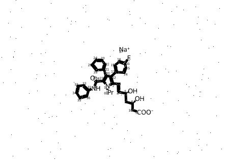 CC(C)n1c(C=C[C@H](O)C[C@@H](O)CC(=O)[O-])c(-c2ccc(F)cc2)c(-c2ccccc2)c1C(=O)Nc1ccccc1.[Na+]